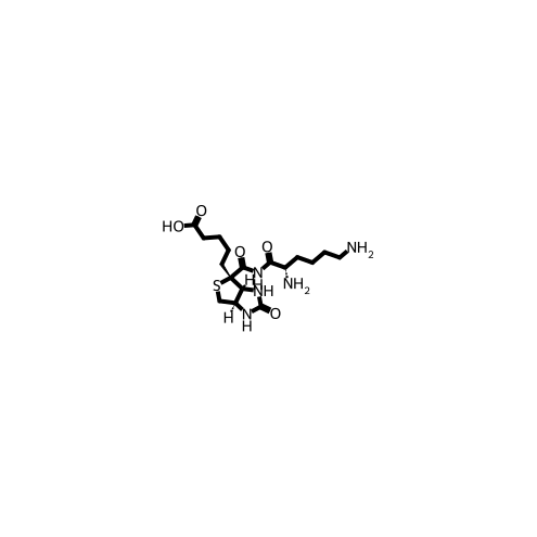 NCCCC[C@H](N)C(=O)NC(=O)[C@@]1(CCCCC(=O)O)SC[C@@H]2NC(=O)N[C@@H]21